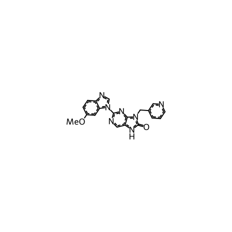 COc1ccc2ncn(-c3ncc4[nH]c(=O)n(Cc5cccnc5)c4n3)c2c1